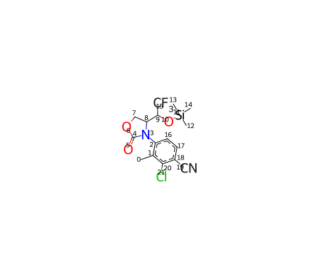 Cc1c(N2C(=O)OCC2C(O[Si](C)(C)C)C(F)(F)F)ccc(C#N)c1Cl